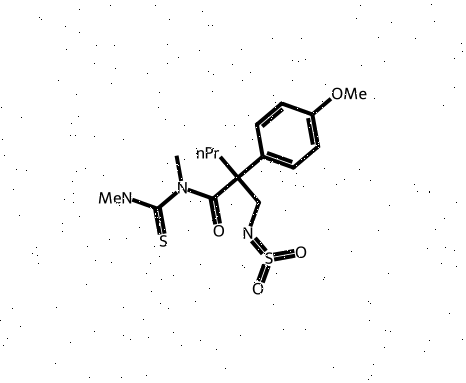 CCCC(CN=S(=O)=O)(C(=O)N(C)C(=S)NC)c1ccc(OC)cc1